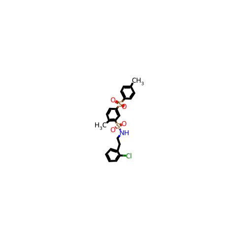 Cc1ccc(S(=O)(=O)c2ccc(C)c(S(=O)(=O)NCCc3ccccc3Cl)c2)cc1